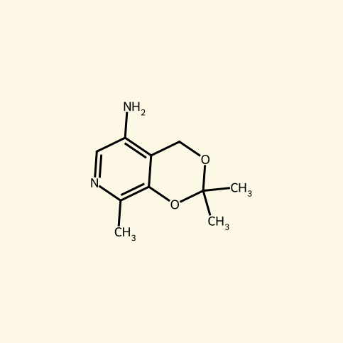 Cc1ncc(N)c2c1OC(C)(C)OC2